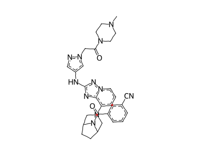 CN1CCN(C(=O)Cn2cc(Nc3nc4c(N5CC6CCC(C5)N6C(=O)c5cccc(C#N)c5)cccn4n3)cn2)CC1